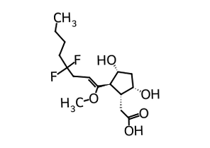 CCCCC(F)(F)CC=C(OC)[C@@H]1[C@@H](CC(=O)O)[C@@H](O)C[C@H]1O